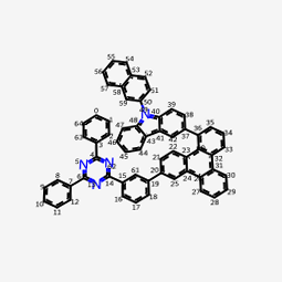 c1ccc(-c2nc(-c3ccccc3)nc(-c3cccc(-c4ccc5c(c4)c4ccccc4c4cccc(-c6ccc7c(c6)c6ccccc6n7-c6ccc7ccccc7c6)c45)c3)n2)cc1